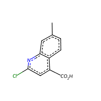 Cc1ccc2c(C(=O)O)cc(Cl)nc2c1